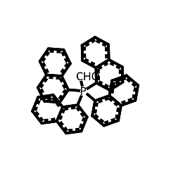 O=CP(c1cccc2ccccc12)(c1cccc2ccccc12)(c1cccc2ccccc12)c1cccc2ccccc12